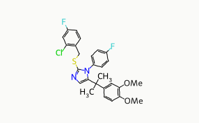 COc1ccc(C(C)(C)c2cnc(SCc3ccc(F)cc3Cl)n2-c2ccc(F)cc2)cc1OC